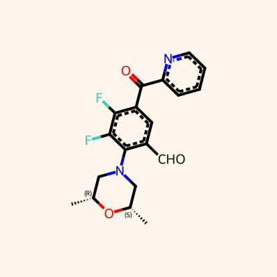 C[C@@H]1CN(c2c(C=O)cc(C(=O)c3ccccn3)c(F)c2F)C[C@H](C)O1